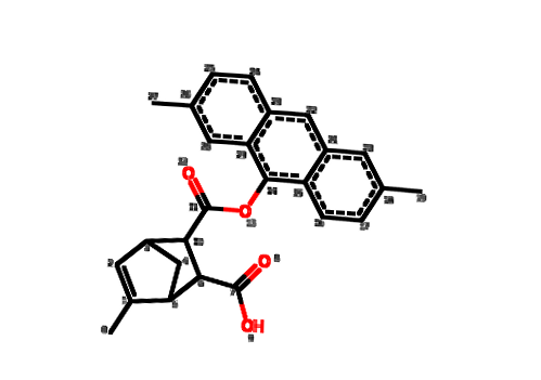 CC1=CC2CC1C(C(=O)O)C2C(=O)Oc1c2ccc(C)cc2cc2ccc(C)cc12